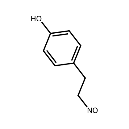 O=NCCc1ccc(O)cc1